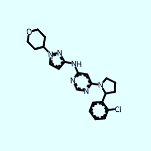 Clc1ccccc1C1CCCN1c1cc(Nc2ccn(C3CCOCC3)n2)ncn1